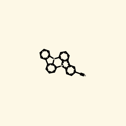 N#Cc1ccc2c(c1)c1cccc3c1n2-c1cccc2c1B3c1ccccc1-2